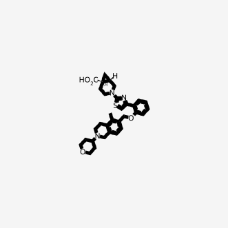 Cc1c(COc2ccccc2-c2csc(N3CC[C@@]4(C(=O)O)C[C@H]4C3)n2)ccc2c1CCN(C1CCOCC1)C2